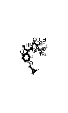 Cc1oc2ccc(OCC3CC3)cc2c1C(=O)N[C@@H](C(=O)O)[C@@H](N[S@+]([O-])C(C)(C)C)C(F)(F)F